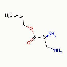 C=CCOC(=O)[C@@H](N)CN